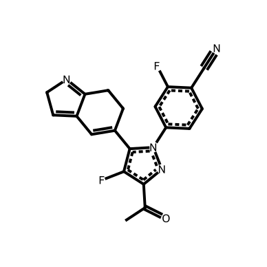 CC(=O)c1nn(-c2ccc(C#N)c(F)c2)c(C2=CC3=CCN=C3CC2)c1F